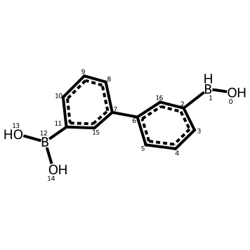 OBc1cccc(-c2cccc(B(O)O)c2)c1